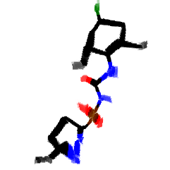 COc1ccc(S(=O)(=O)NC(=O)Nc2c(C(C)C)cc(Cl)cc2C(C)C)nn1